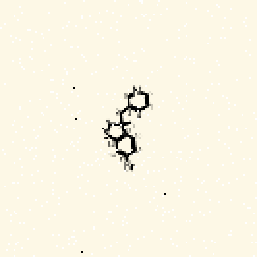 CC1(Cc2cccnc2)CSc2cc(Br)ccc21